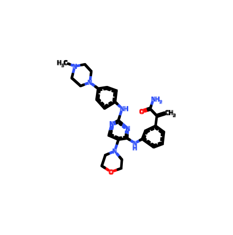 C=C(C(N)=O)c1cccc(Nc2nc(Nc3ccc(N4CCN(C)CC4)cc3)ncc2N2CCOCC2)c1